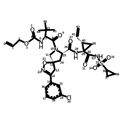 C=CCOC(=O)N[C@H](C(=O)N1C[C@@]2(CC(c3cccc(Cl)c3)=NO2)C[C@H]1C(=O)N[C@]1(C(=O)NS(=O)(=O)C2CC2)C[C@H]1C=C)C(C)(C)C